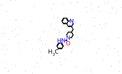 Cc1ccc(NC(=O)N2CCC(Cc3cnc4ccccc4c3)CC2)cc1